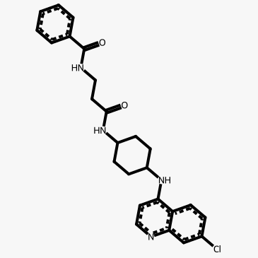 O=C(CCNC(=O)c1ccccc1)NC1CCC(Nc2ccnc3cc(Cl)ccc23)CC1